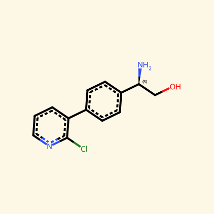 N[C@@H](CO)c1ccc(-c2cccnc2Cl)cc1